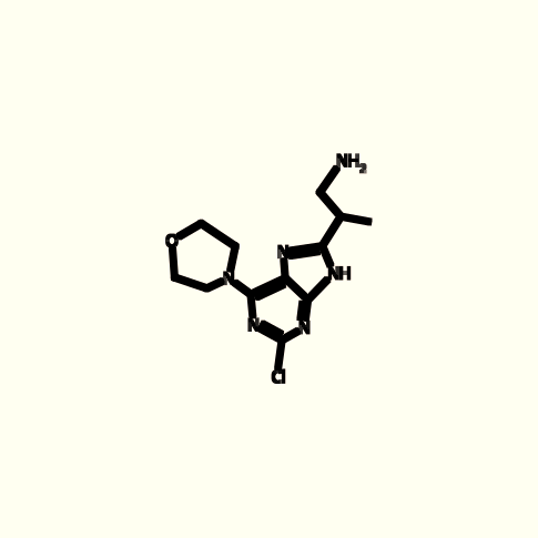 CC(CN)c1nc2c(N3CCOCC3)nc(Cl)nc2[nH]1